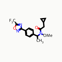 CON(C(=O)CC1CC1)C(C)c1ccc(-c2noc(C(F)(F)F)n2)cc1